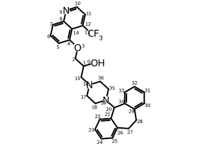 OC(COc1cccc2nccc(C(F)(F)F)c12)CN1CCN(C2c3ccccc3CCc3ccccc32)CC1